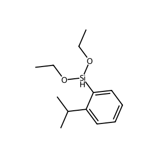 CCO[SiH](OCC)c1ccccc1C(C)C